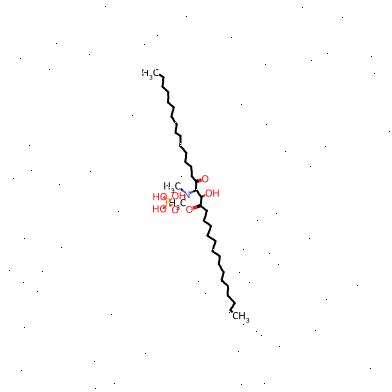 CCCCCCCCCCCCCCCC(=O)C(O)C(C(=O)CCCCCCCCCCCCCCC)N(C)C.O=P(O)(O)O